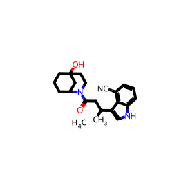 C.CC(CC(=O)N1CCC2(O)CCCC1C2)c1c[nH]c2cccc(C#N)c12